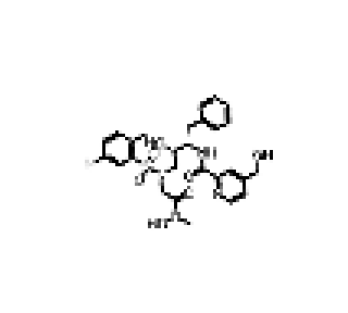 Cc1ccc(F)cc1S(=O)(=O)N(CC(=O)N(C)O)C[C@@H](O)[C@H](Cc1ccccc1)NC(=O)c1cc(CO)ccn1